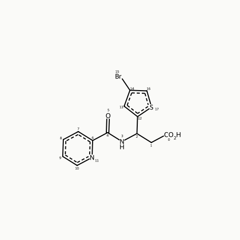 O=C(O)CC(NC(=O)c1ccccn1)c1cc(Br)cs1